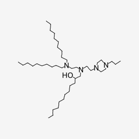 CCCCCCCCCCC(O)CN(CCN(CCCCCCCCCC)CCCCCCCCCC)CCN1CCN(CCC)CC1